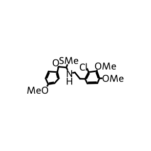 COc1ccc(C(=O)C(NCCc2ccc(OC)c(OC)c2Cl)SC)cc1